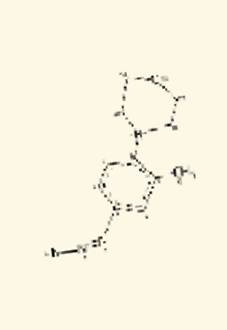 Cc1cc(N=[N+]=[N-])ccc1N1CCOCC1